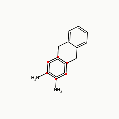 Nc1cc2c(cc1N)C1c3ccccc3C2c2ccccc21